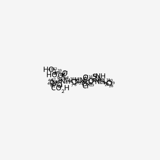 C[C@H](N[C@@H](CCc1ccc(CNS(=O)(=O)c2cc3c(cc2Cl)NC(CCc2ccccc2)NS3)cc1)C(=O)OCC(O)CO)C(=O)N1CCC[C@H]1C(=O)O